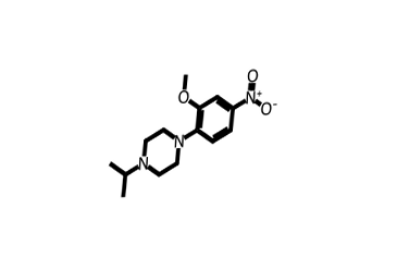 COc1cc([N+](=O)[O-])ccc1N1CCN(C(C)C)CC1